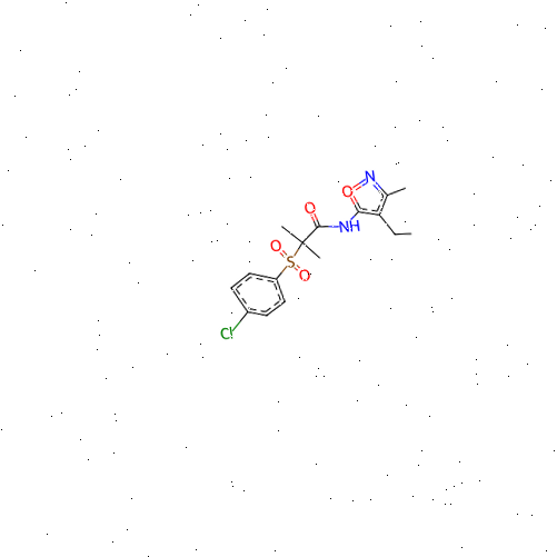 CCc1c(C)noc1NC(=O)C(C)(C)S(=O)(=O)c1ccc(Cl)cc1